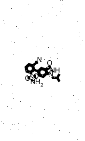 CC(C)Cn1[nH]c(=O)c2cc(-c3c(C#N)cccc3S(N)(=O)=O)ccc21